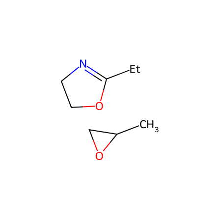 CC1CO1.CCC1=NCCO1